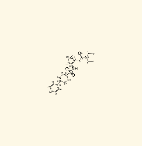 CCN(CC)C(=O)Cc1sccc1NS(=O)(=O)c1ccc(-c2ccccc2)cc1